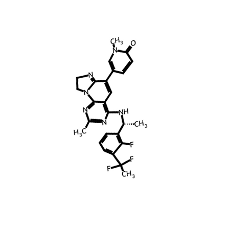 Cc1nc(N[C@H](C)c2cccc(C(C)(F)F)c2F)c2c(n1)N1CCN=C1C(c1ccc(=O)n(C)c1)=C2